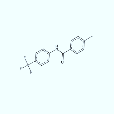 [CH2]c1ccc(C(=O)Nc2ccc(C(F)(F)F)cc2)cc1